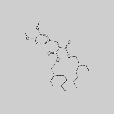 CCCCC(CC)COC(=O)C(=Cc1ccc(OC)c(OC)c1)C(=O)OCC(CC)CCCC